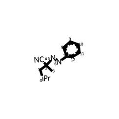 CC(C)CC(C)(C#N)N=Nc1ccccc1